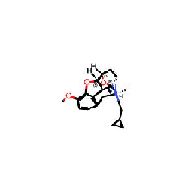 COc1ccc2c3c1O[C@@H]1[C@@H]4CC[C@]5(O4)[C@H](C2)N(CC2CC2)CCC315